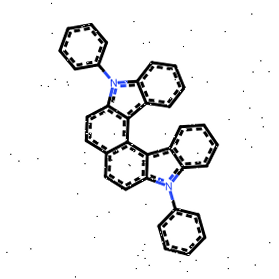 c1ccc(-n2c3ccccc3c3c4c(ccc32)ccc2c4c3ccccc3n2-c2ccccc2)cc1